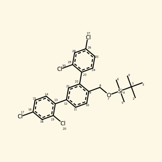 CC(C)(C)[Si](C)(C)OCc1ccc(-c2ccc(Cl)cc2Cl)cc1-c1ccc(Cl)cc1Cl